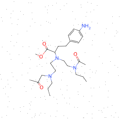 CCCN(CCN(CCN(CCC)C(C)=O)C(CCc1ccc(N)cc1)C(=O)OC)CC(C)=O